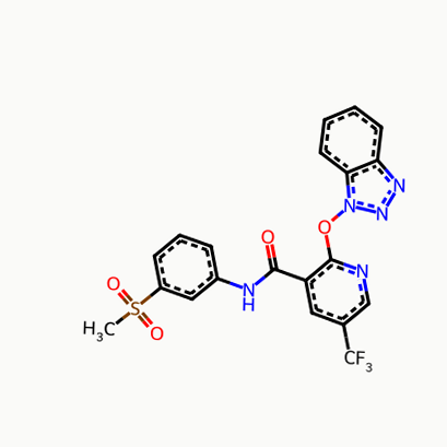 CS(=O)(=O)c1cccc(NC(=O)c2cc(C(F)(F)F)cnc2On2nnc3ccccc32)c1